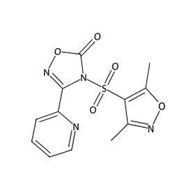 Cc1noc(C)c1S(=O)(=O)n1c(-c2ccccn2)noc1=O